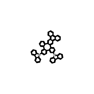 c1ccc2c(c1)-c1cc(-n3c4ccccc4c4ccccc43)ccc1-c1cc(-n3c4ccccc4c4ccccc43)ccc1-c1cc3c4ccccc4c4ccccc4c3cc1-2